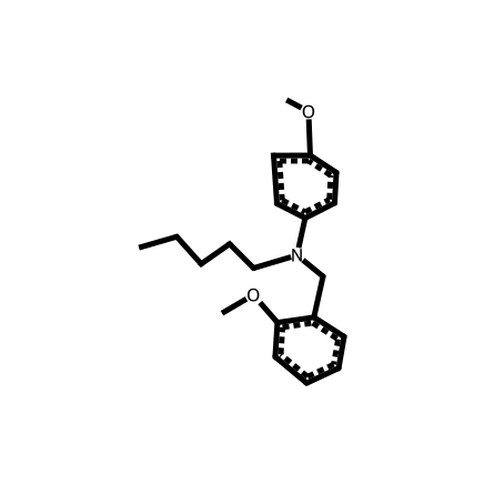 CCCCCN(Cc1ccccc1OC)c1ccc(OC)cc1